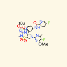 COc1nc(N2CC3C(c4cc(NC(=O)c5ccc(F)cn5)ccc4F)(C2)N/C(=N\C(=O)OC(C)(C)C)N(C)S3(=O)=O)nc(C)c1F